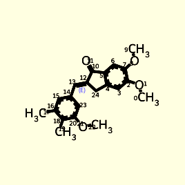 COc1cc2c(cc1OC)C(=O)/C(=C/c1cc(C)c(C)c(OC)c1)C2